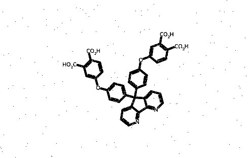 O=C(O)c1ccc(Oc2ccc(C3(c4ccc(Oc5ccc(C(=O)O)c(C(=O)O)c5)cc4)c4cccnc4-c4ncccc43)cc2)cc1C(=O)O